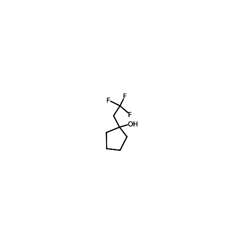 OC1(CC(F)(F)F)CCCC1